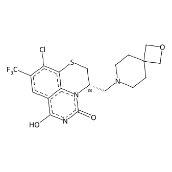 O=c1nc(O)c2cc(C(F)(F)F)c(Cl)c3c2n1[C@@H](CN1CCC2(CC1)COC2)CS3